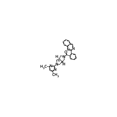 Cc1cc(C)nc(N2C[C@H]3CN(C(=O)c4ccccc4-c4ncc5ccccc5n4)C[C@H]3C2)n1